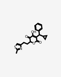 Cc1nc(CCC2OC(=O)C(C(c3ccccc3)C3CC3)=C(O)C2=O)cs1